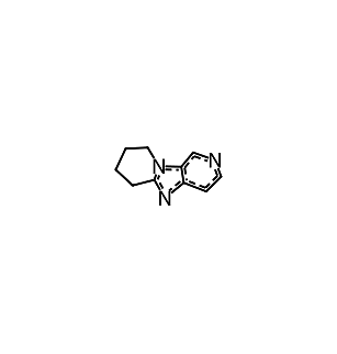 c1cc2nc3n(c2cn1)CCCC3